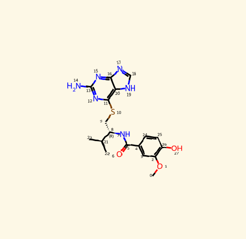 COc1cc(C(=O)N[C@@H](CSc2nc(N)nc3nc[nH]c23)C(C)C)ccc1O